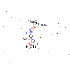 COc1cc(Nc2ncc(OCc3c(F)c(OC)cc(OC)c3F)cn2)ccc1N1CCC(N[C@@H](C)C(C)O)CC1